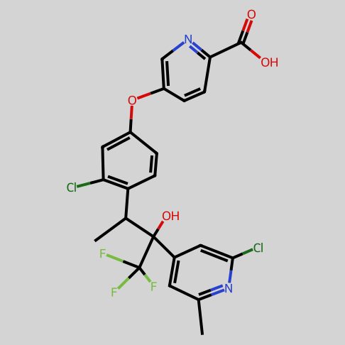 Cc1cc(C(O)(C(C)c2ccc(Oc3ccc(C(=O)O)nc3)cc2Cl)C(F)(F)F)cc(Cl)n1